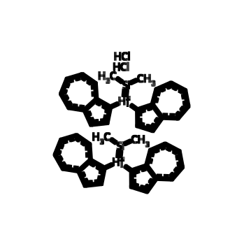 C[Si](C)=[Hf]([c]1ccc2cccccc1-2)[c]1ccc2cccccc1-2.C[Si](C)=[Hf]([c]1ccc2cccccc1-2)[c]1ccc2cccccc1-2.Cl.Cl